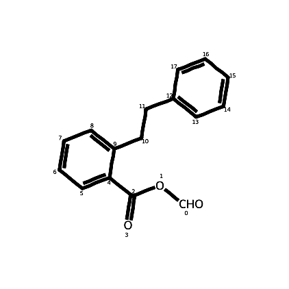 O=COC(=O)c1ccccc1CCc1ccccc1